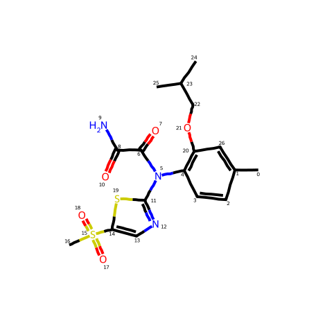 Cc1ccc(N(C(=O)C(N)=O)c2ncc(S(C)(=O)=O)s2)c(OCC(C)C)c1